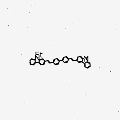 CCn1c2ccccc2c2ccc(/C=C/c3ccc(-c4ccc(/C=C/c5ccc6c(c5)c5ccccc5n6C)cc4)cc3)cc21